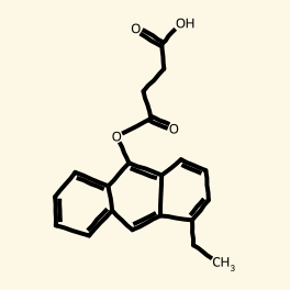 CCc1cccc2c(OC(=O)CCC(=O)O)c3ccccc3cc12